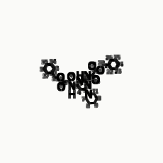 O=C(Nc1cc(N2CCCCC2)nc(NC(=O)C(=O)OCc2ccccc2)n1)C(=O)OCc1ccccc1